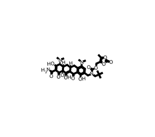 Cc1oc(=O)oc1COC(=O)N(Cc1cc(N(C)C)c2c(c1O)C(=O)C1=C(O)[C@]3(O)C(=O)C(C(N)=O)=C(O)[C@@H](N(C)C)[C@@H]3C[C@@H]1C2)CC(C)(C)C